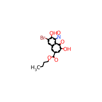 CCCCOC(=O)c1cc(O)c(=O)c2c(N=O)c(O)c(Br)cc2c1